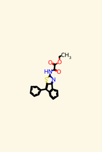 CCOC(=O)C(=O)NC1N=C2C(=C(c3ccccc3)c3ccccc32)S1